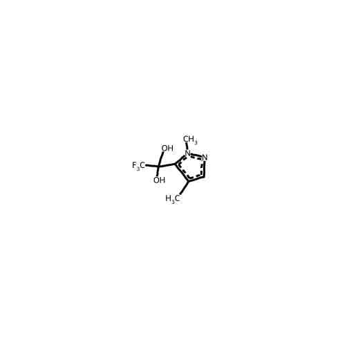 Cc1cnn(C)c1C(O)(O)C(F)(F)F